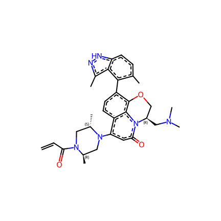 C=CC(=O)N1C[C@H](C)N(c2cc(=O)n3c4c(c(-c5c(C)ccc6[nH]nc(C)c56)ccc24)OC[C@H]3CN(C)C)C[C@H]1C